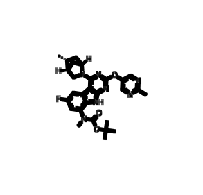 Cc1ncc(Oc2nc(N3C[C@H]4C[C@@H]3C[C@H]4C)c3c(n2)[nH]c2c(N(C)C(=O)OC(C)(C)C)cc(F)cc23)cn1